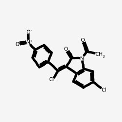 CC(=O)N1C(=O)C(=C(Cl)c2ccc([N+](=O)[O-])cc2)c2ccc(Cl)cc21